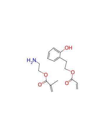 C=C(C)C(=O)OCCN.C=CC(=O)OCCc1ccccc1O